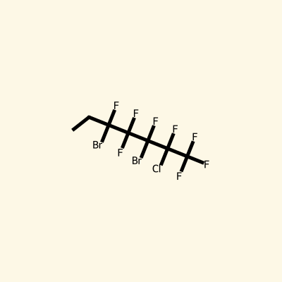 CCC(F)(Br)C(F)(F)C(F)(Br)C(F)(Cl)C(F)(F)F